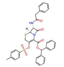 Cc1ccc(S(=O)(=O)OC2=C(C(=O)OC(c3ccccc3)c3ccccc3)N3C(=O)[C@@H](NC(=O)Cc4ccccc4)[C@@H]3SC2)cc1